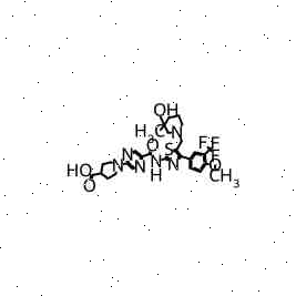 COc1ccc(-c2nc(NC(=O)c3cnc(N4CCC(C(=O)O)CC4)cn3)sc2CN2CCCC(C)(CO)C2)cc1C(F)(F)F